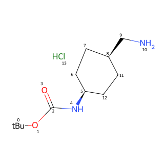 CC(C)(C)OC(=O)N[C@H]1CC[C@@H](CN)CC1.Cl